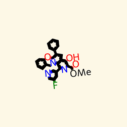 COC(=O)c1nc(-c2cncc(F)c2)c2c(cc(-c3ccccc3)c(=O)n2Cc2ccccc2)c1O